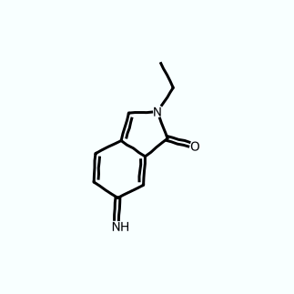 CCN1C=C2C=CC(=N)C=C2C1=O